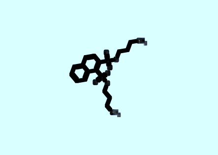 CCCCOS(=O)(=O)c1ccc2ccccc2c1S(=O)(=O)OCCCC